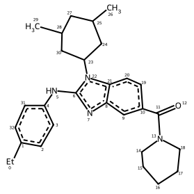 CCc1ccc(Nc2nc3cc(C(=O)N4CCCCC4)ccc3n2C2CC(C)CC(C)C2)cc1